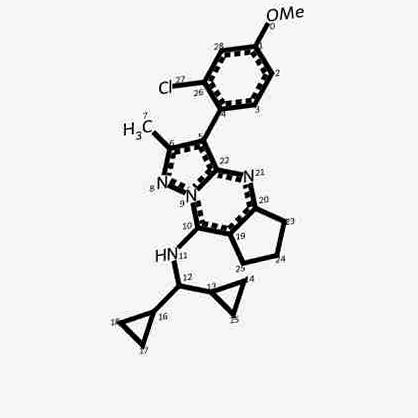 COc1ccc(-c2c(C)nn3c(NC(C4CC4)C4CC4)c4c(nc23)CCC4)c(Cl)c1